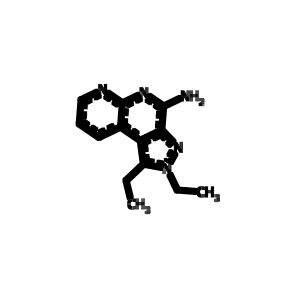 CCc1c2c(nn1CC)c(N)nc1ncccc12